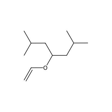 C=COC(CC(C)C)CC(C)C